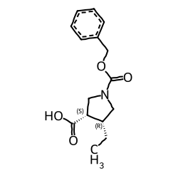 CC[C@H]1CN(C(=O)OCc2ccccc2)C[C@H]1C(=O)O